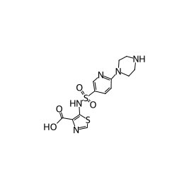 O=C(O)c1ncsc1NS(=O)(=O)c1ccc(N2CCNCC2)nc1